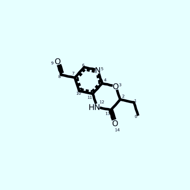 CCC1Oc2ncc(C=O)cc2NC1=O